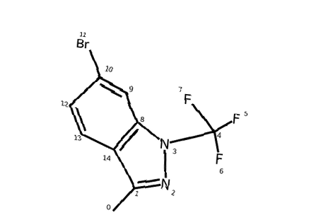 Cc1nn(C(F)(F)F)c2cc(Br)ccc12